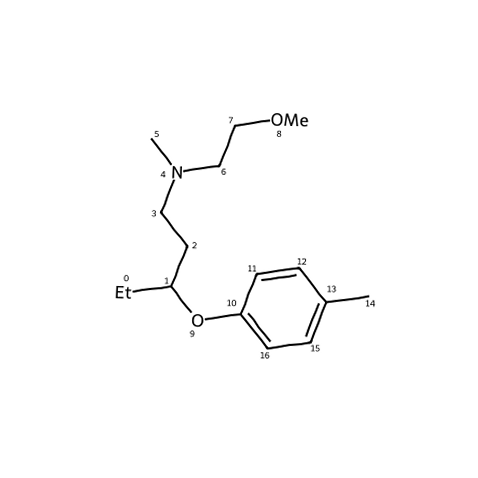 CCC(CCN(C)CCOC)Oc1ccc(C)cc1